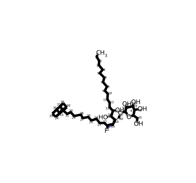 CCCCCCCCCCCCCC[C@@H](O)[C@@H](O)[C@@H](/C=C(/F)CCCCCCCCCCC12C3C4C5C3C1C5C42)COC1OC(CO)C(O)C(O)C1O